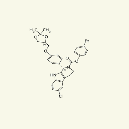 CCc1ccc(OC(=O)N2CCc3c([nH]c4ccc(Cl)cc34)[C@@H]2c2ccc(OC[C@H]3COC(C)(C)O3)cc2)cc1